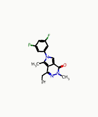 Cc1c2c(CC(C)C)nn(C)c(=O)c2cn1-c1cc(F)cc(F)c1